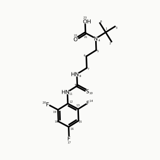 CC(C)(C)N(CCCNC(=S)Nc1c(F)cc(F)cc1F)C(=O)O